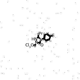 CC(C)C1NN(SC(Cl)(Cl)Cl)C(=O)N1c1ccc(F)cc1